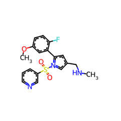 CNCc1cc(-c2cc(OC)ccc2F)n(S(=O)(=O)c2cccnc2)c1